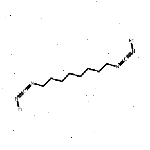 CCN=C=NCCCCCCCCN=C=NCC